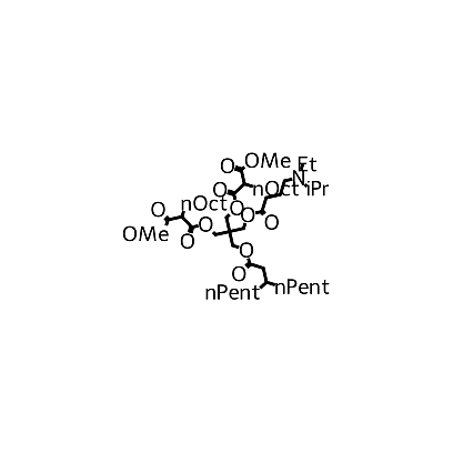 CCCCCCCCC(C(=O)OC)C(=O)OCC(COC(=O)CCCN(CC)C(C)C)(COC(=O)CC(CCCCC)CCCCC)COC(=O)C(CCCCCCCC)C(=O)OC